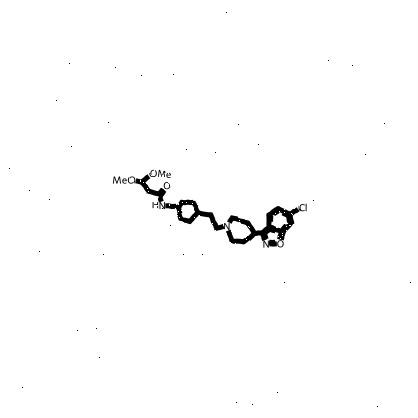 COC(CC(=O)NC1CCC(CCN2CCC(c3noc4cc(Cl)ccc34)CC2)CC1)OC